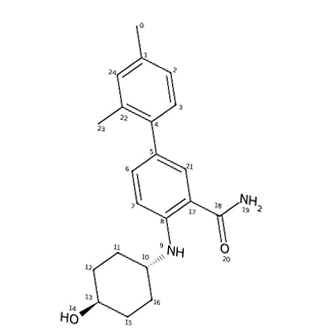 Cc1ccc(-c2ccc(N[C@H]3CC[C@H](O)CC3)c(C(N)=O)c2)c(C)c1